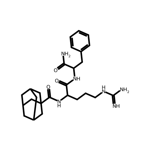 N=C(N)NCCCC(NC(=O)C12CC3CC(CC(C3)C1)C2)C(=O)NC(Cc1ccccc1)C(N)=O